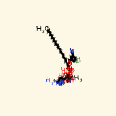 CCCCCCCCCCCCCCCCCCC[C@H](COP(=O)(O)OCC(C#N)(OC)[C@@H](O)[C@@H](O)c1ccc2c(N)ncnn12)OCc1cc(Cl)cc(C#N)c1